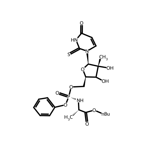 CCCCOC(=O)[C@H](C)N[P@](=O)(OC[C@H]1O[C@@H](n2ccc(=O)[nH]c2=S)[C@](C)(O)C1O)Oc1ccccc1